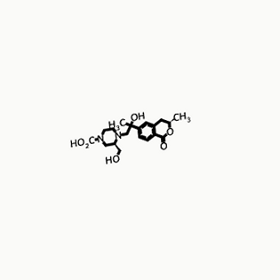 C[C@H]1Cc2cc(C(C)(O)CN3CCN(C(=O)O)C[C@@H]3CO)ccc2C(=O)O1